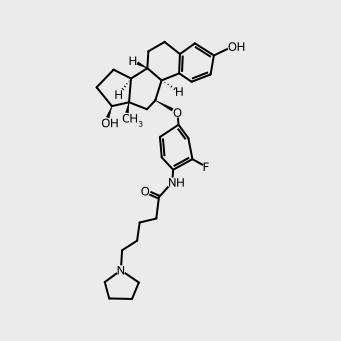 C[C@]12C[C@H](Oc3ccc(NC(=O)CCCCN4CCCC4)c(F)c3)[C@@H]3c4ccc(O)cc4CC[C@H]3[C@@H]1CC[C@@H]2O